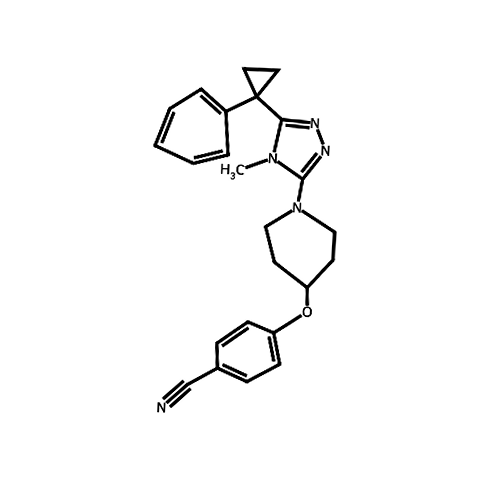 Cn1c(N2CCC(Oc3ccc(C#N)cc3)CC2)nnc1C1(c2ccccc2)CC1